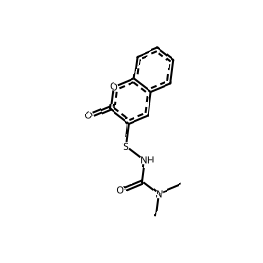 CN(C)C(=O)NSc1cc2ccccc2oc1=O